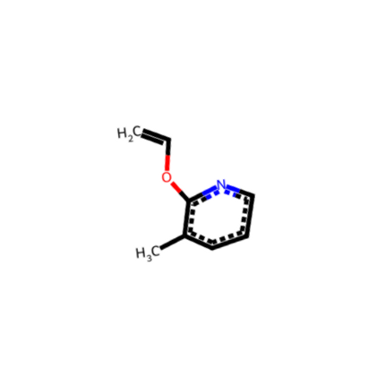 C=COc1ncccc1C